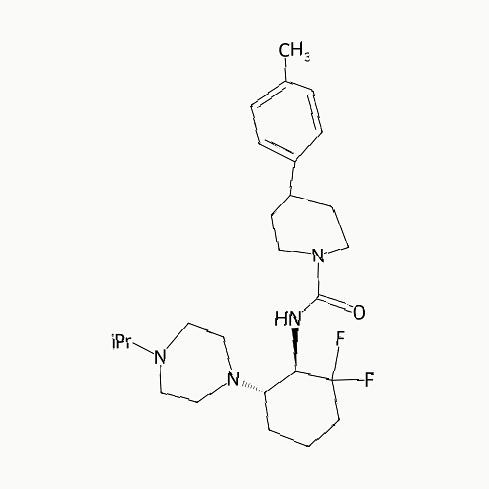 Cc1ccc(C2CCN(C(=O)N[C@@H]3[C@@H](N4CCN(C(C)C)CC4)CCCC3(F)F)CC2)cc1